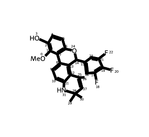 COc1c(O)ccc2c1-c1ccc3c(c1C(c1cc(F)c(F)c(F)c1)O2)C(C)=CC(C)(C)N3